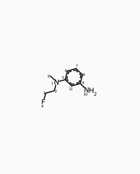 CN(CCF)c1cccc(N)c1